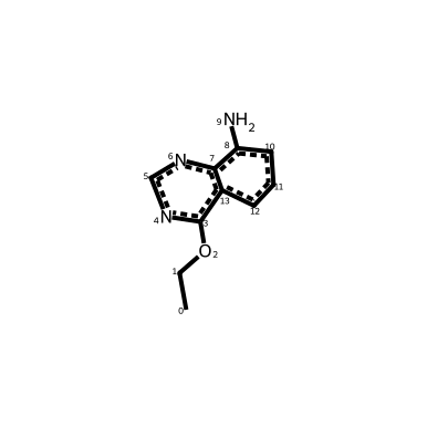 CCOc1ncnc2c(N)cccc12